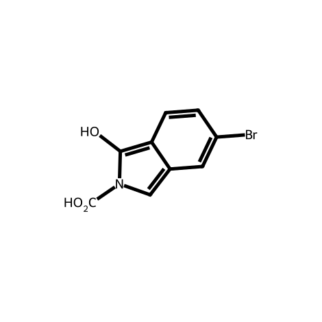 O=C(O)n1cc2cc(Br)ccc2c1O